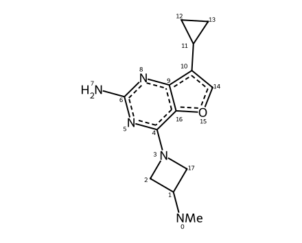 CNC1CN(c2nc(N)nc3c(C4CC4)coc23)C1